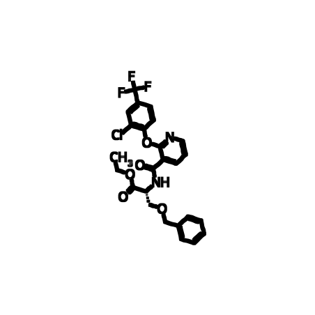 CCOC(=O)[C@@H](COCc1ccccc1)NC(=O)c1cccnc1Oc1ccc(C(F)(F)F)cc1Cl